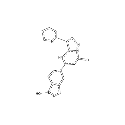 O=c1cc(-c2ccc3c(cnn3O)c2)[nH]c2c(-c3ccccn3)cnn12